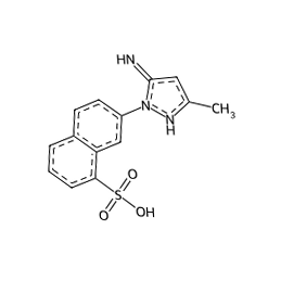 Cc1cc(=N)n(-c2ccc3cccc(S(=O)(=O)O)c3c2)[nH]1